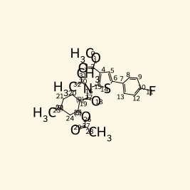 COC(=O)c1cc(-c2ccc(F)cc2)sc1N(C(=O)[C@@H]1CC[C@@H](C)C[C@@H]1OC(C)=O)C(C)C